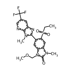 CCS(=O)(=O)c1cc2c(cc1-c1nc3cc(C(F)(F)F)cnc3n1C)n(COC)c(=O)n2C